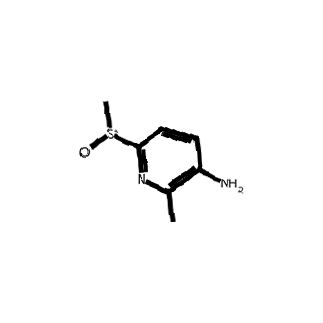 Cc1nc([S+](C)[O-])ccc1N